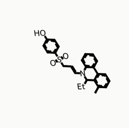 CCC1c2c(C)cccc2-c2ccccc2N1C=CCS(=O)(=O)c1ccc(O)cc1